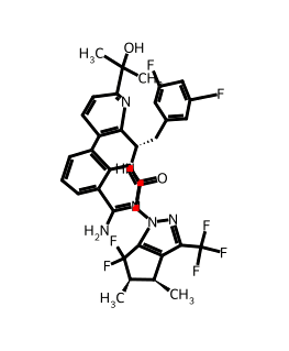 C[C@@H]1c2c(C(F)(F)F)nn(CC(=O)N[C@@H](Cc3cc(F)cc(F)c3)c3nc(C(C)(C)O)ccc3-c3cccc4c(N)nccc34)c2C(F)(F)[C@@H]1C